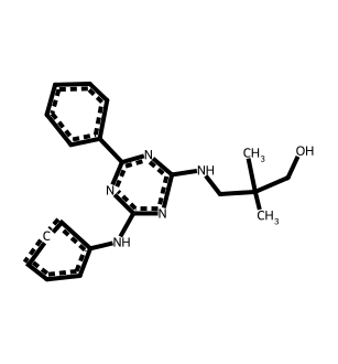 CC(C)(CO)CNc1nc(Nc2ccccc2)nc(-c2ccccc2)n1